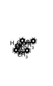 Cc1cccc(C(C)OCc2ccccc2)c1OC(=O)Oc1c(C)cccc1C(C)OCc1ccccc1